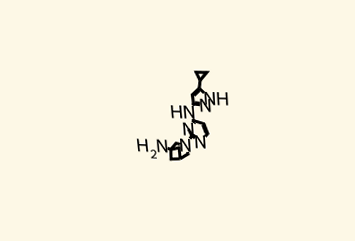 NC12CC(CN(c3nccc(Nc4cc(C5CC5)[nH]n4)n3)C1)C2